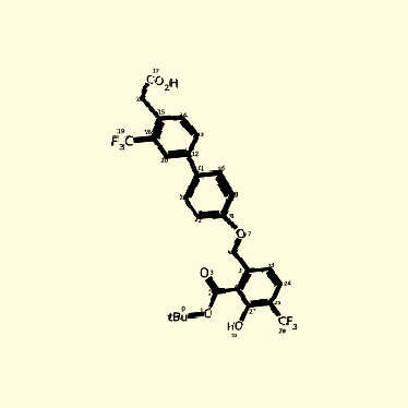 CC(C)(C)OC(=O)c1c(COc2ccc(-c3ccc(CC(=O)O)c(C(F)(F)F)c3)cc2)ccc(C(F)(F)F)c1O